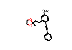 CC(=O)Oc1ccc(C#Cc2ccccc2)c(CCC2(C)OCCO2)c1